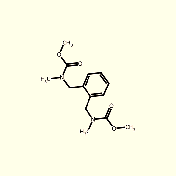 COC(=O)N(C)Cc1ccccc1CN(C)C(=O)OC